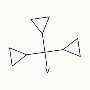 [V][C](C1CC1)(C1CC1)C1CC1